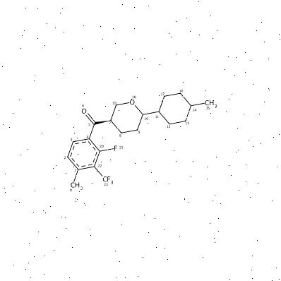 Cc1ccc(C(=O)[C@@H]2CCC(C3CCC(C)CC3)OC2)c(F)c1C(F)(F)F